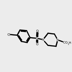 O=C(O)N1CCN(S(=O)(=O)c2ccc(Cl)cc2)CC1